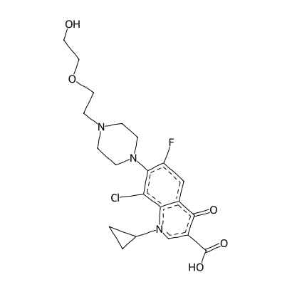 O=C(O)c1cn(C2CC2)c2c(Cl)c(N3CCN(CCOCCO)CC3)c(F)cc2c1=O